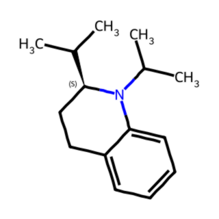 CC(C)[C@@H]1CCc2ccccc2N1C(C)C